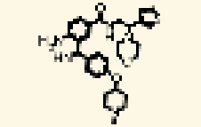 CN1CCC(Oc2ccc(C(=N)c3cc(C(=O)NCC(c4ccsc4)N4CCOCC4)ccc3N)cc2)CC1